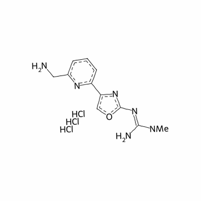 CN/C(N)=N/c1nc(-c2cccc(CN)n2)co1.Cl.Cl.Cl